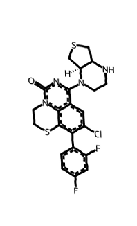 O=c1nc(N2CCNC3CSC[C@@H]32)c2cc(Cl)c(-c3ccc(F)cc3F)c3c2n1CCS3